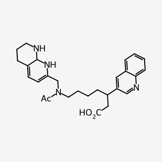 CC(=O)N(CCCCC(CC(=O)O)c1cnc2ccccc2c1)CC1=CC=C2CCCNC2N1